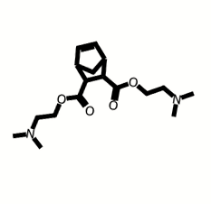 CN(C)CCOC(=O)C1C2C=CC(C2)C1C(=O)OCCN(C)C